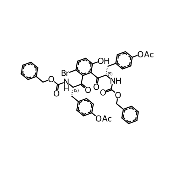 CC(=O)Oc1ccc(C[C@H](NC(=O)OCc2ccccc2)C(=O)c2c(O)ccc(Br)c2C(=O)[C@H](Cc2ccc(OC(C)=O)cc2)NC(=O)OCc2ccccc2)cc1